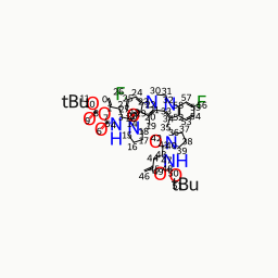 C=CC[C@H](NC(=O)OC(=O)OC(C)(C)C)C(=O)N1CCC[C@H]1Cc1c2n(c3cc(F)ccc13)CCn1c-2c(C[C@@H]2CCCN2C(=O)[C@H](CC=C)NC(=O)OC(C)(C)C)c2ccc(F)cc21